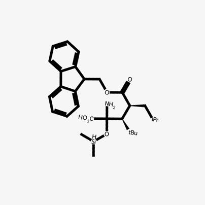 CC(C)C[C@H](C(=O)OCC1c2ccccc2-c2ccccc21)[C@@H](C(C)(C)C)C(N)(O[SiH](C)C)C(=O)O